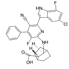 N#Cc1c(-c2c[nH]c3c(F)cc(Cl)cc23)nc(N[C@H]2C3CCC(CC3)[C@@H]2C(=O)O)c(F)c1-c1ccccc1